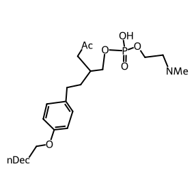 CCCCCCCCCCCOc1ccc(CCC(COP(=O)(O)OCCNC)CC(C)=O)cc1